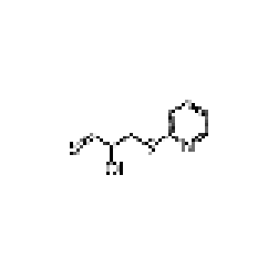 OC(C=S)CSc1ccccn1